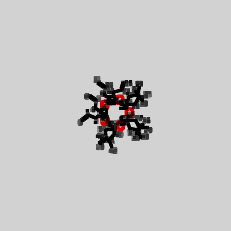 C=CC[Si]1(CC=C)O[Si](CC=C)(CC=C)O[Si](CC(C)C)(CC(C)C)O[Si](CC(C)C)(CC(C)C)O[Si](CC=C)(CC(C)C)O1